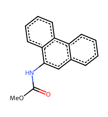 COC(=O)Nc1cc2ccccc2c2ccccc12